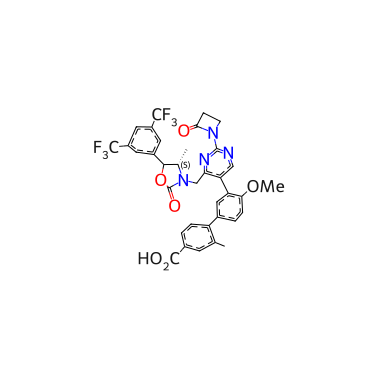 COc1ccc(-c2ccc(C(=O)O)cc2C)cc1-c1cnc(N2CCC2=O)nc1CN1C(=O)OC(c2cc(C(F)(F)F)cc(C(F)(F)F)c2)[C@@H]1C